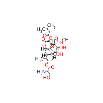 COC(=O)[C@@]12OC[C@]34C([C@@H](O)[C@@H]1O)[C@@]1(C)CCC(OC(=O)[C@@H](N)CO)=C(C)[C@@H]1C[C@H]3OC(=O)[C@H](OC(=O)C=C(C)C)[C@@H]24